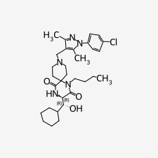 CCCCN1C(=O)[C@@H]([C@H](O)C2CCCCC2)NC(=O)C12CCN(Cc1c(C)nn(-c3ccc(Cl)cc3)c1C)CC2